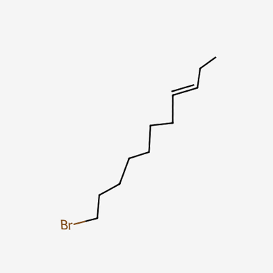 CC/C=C/CCCCCCCBr